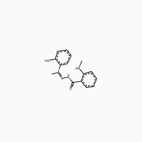 CNc1ccccc1C(=O)NN=C(C)c1ccccc1O